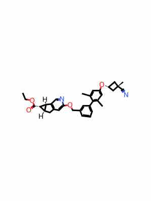 CCOC(=O)[C@H]1[C@@H]2Cc3cc(OCc4cccc(-c5c(C)cc(O[C@H]6C[C@@](C)(C#N)C6)cc5C)c4)ncc3[C@@H]21